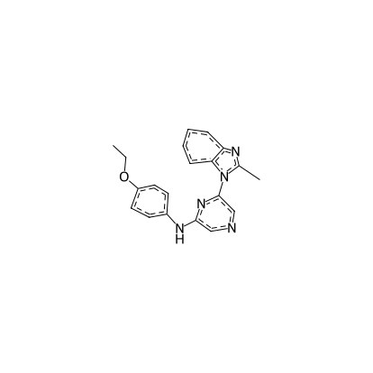 CCOc1ccc(Nc2cncc(-n3c(C)nc4ccccc43)n2)cc1